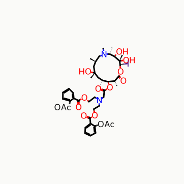 CC(=O)Oc1ccccc1C(=O)OCCN(CCOC(=O)c1ccccc1OC(C)=O)CC(=O)O[C@H]1[C@H](C)C[C@](C)(O)C[C@@H](C)CN(C)[C@H](C)[C@@H](O)[C@](C)(O)[C@@H](I)OC(=O)[C@@H]1C